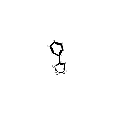 [c]1ccc(C2=CSSS2)cc1